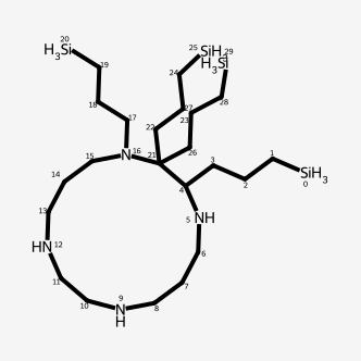 [SiH3]CCCC1NCCCNCCNCCCN(CCC[SiH3])C1(CCC[SiH3])CCC[SiH3]